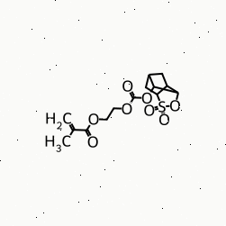 C=C(C)C(=O)OCCOC(=O)OC1C2CC3C1OS(=O)(=O)C3C2